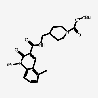 Cc1cccc2c1cc(C(=O)NCC1CCN(C(=O)OC(C)(C)C)CC1)c(=O)n2C(C)C